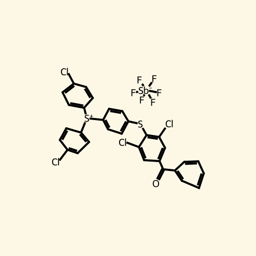 O=C(c1ccccc1)c1cc(Cl)c(Sc2ccc([S+](c3ccc(Cl)cc3)c3ccc(Cl)cc3)cc2)c(Cl)c1.[F][Sb-]([F])([F])([F])([F])[F]